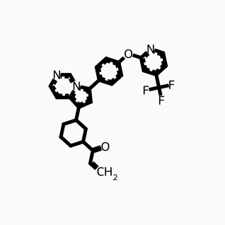 C=CC(=O)C1CCCC(c2cc(-c3ccc(Oc4cc(C(F)(F)F)ccn4)cc3)n3cnccc23)C1